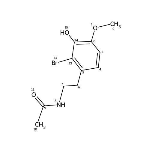 COc1ccc(CCNC(C)=O)c(Br)c1O